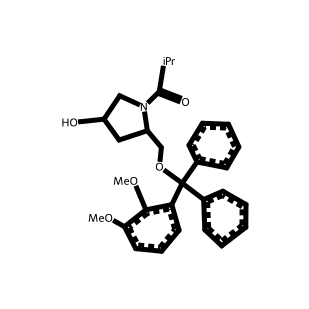 COc1cccc(C(OCC2CC(O)CN2C(=O)C(C)C)(c2ccccc2)c2ccccc2)c1OC